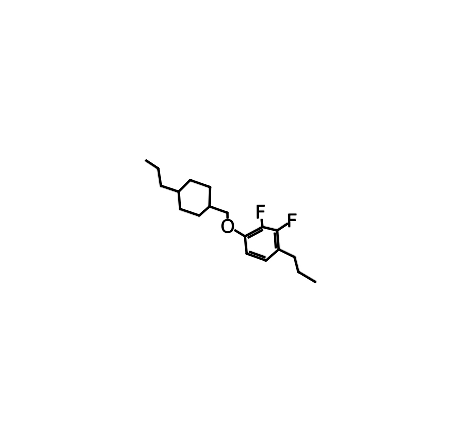 CCCc1ccc(OCC2CCC(CCC)CC2)c(F)c1F